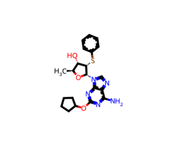 C[C@@H]1O[C@@H](n2cnc3c(N)nc(OC4CCCC4)nc32)[C@@H](Sc2ccccc2)[C@H]1O